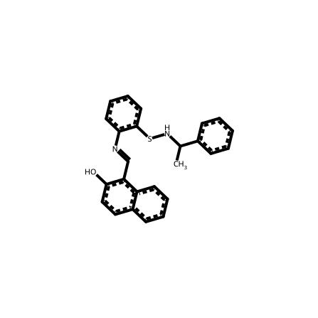 CC(NSc1ccccc1/N=C/c1c(O)ccc2ccccc12)c1ccccc1